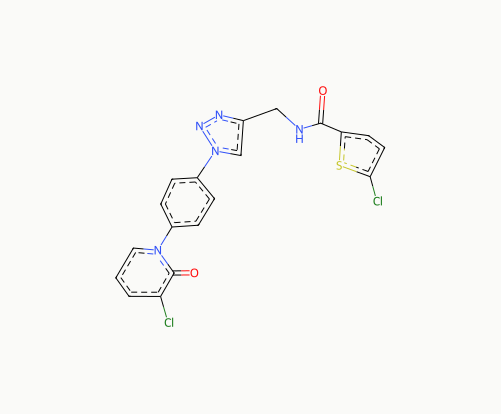 O=C(NCc1cn(-c2ccc(-n3cccc(Cl)c3=O)cc2)nn1)c1ccc(Cl)s1